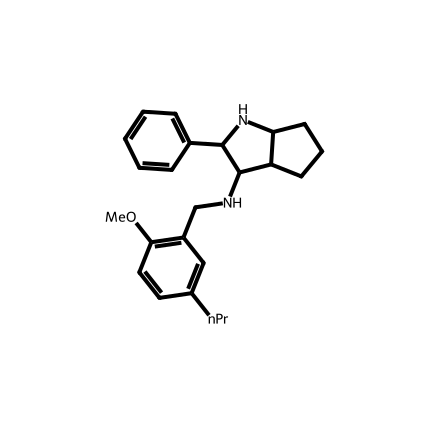 CCCc1ccc(OC)c(CNC2C(c3ccccc3)NC3CCCC32)c1